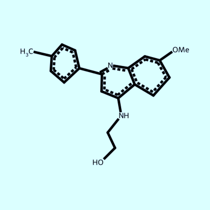 COc1ccc2c(NCCO)cc(-c3ccc(C)cc3)nc2c1